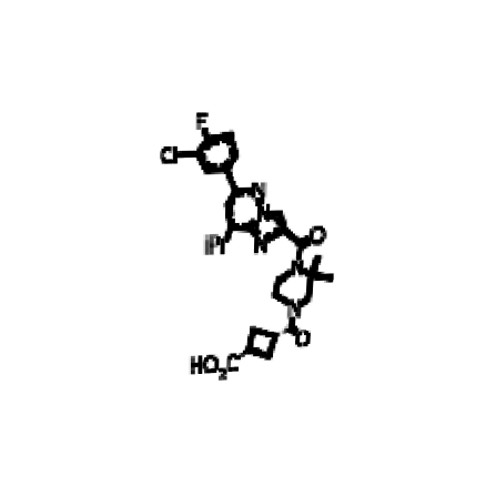 CC(C)c1cc(-c2ccc(F)c(Cl)c2)nn2cc(C(=O)N3CCN(C(=O)[C@H]4C[C@@H](C(=O)O)C4)CC3(C)C)nc12